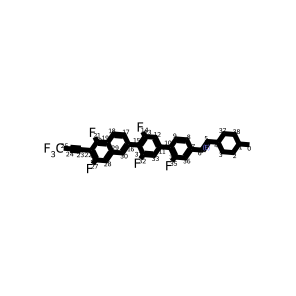 CC1CCC(/C=C/c2ccc(-c3cc(F)c(-c4ccc5c(F)c(C#CC(F)(F)F)c(F)cc5c4)c(F)c3)c(F)c2)CC1